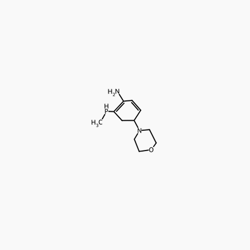 CPC1=C(N)C=CC(N2CCOCC2)C1